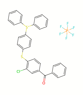 F[P-](F)(F)(F)(F)F.O=C(c1ccccc1)c1ccc(Sc2ccc([S+](c3ccccc3)c3ccccc3)cc2)c(Cl)c1